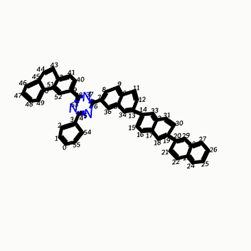 c1ccc(-c2nc(-c3ccc4ccc(-c5ccc6cc(-c7ccc8ccccc8c7)ccc6c5)cc4c3)nc(-c3ccc4ccc5ccccc5c4c3)n2)cc1